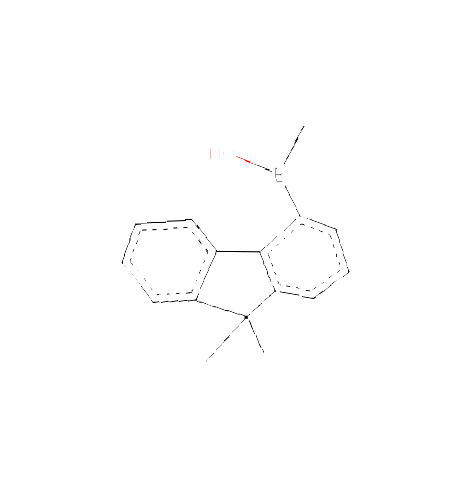 CB(O)c1cccc2c1-c1ccccc1C2(C)C